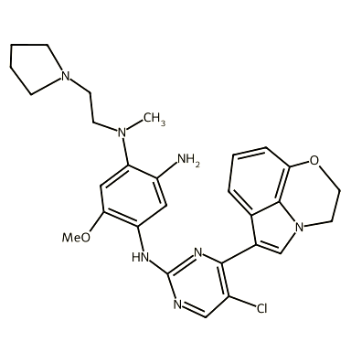 COc1cc(N(C)CCN2CCCC2)c(N)cc1Nc1ncc(Cl)c(-c2cn3c4c(cccc24)OCC3)n1